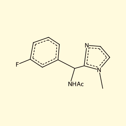 CC(=O)NC(c1cccc(F)c1)c1nccn1C